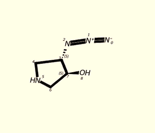 [N-]=[N+]=N[C@H]1CNC[C@@H]1O